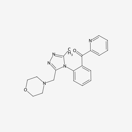 Cc1nnc(CN2CCOCC2)n1-c1ccccc1C(=O)c1ccccn1